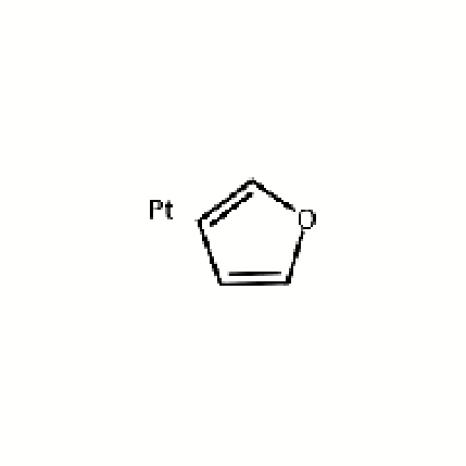 [Pt].c1ccoc1